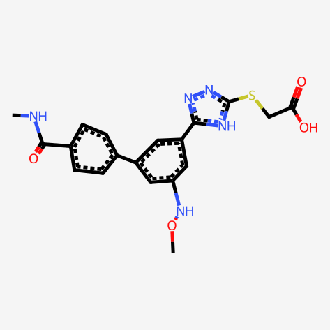 CNC(=O)c1ccc(-c2cc(NOC)cc(-c3nnc(SCC(=O)O)[nH]3)c2)cc1